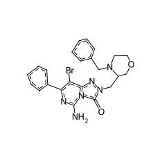 Nc1nc(-c2ccccc2)c(Br)c2nn(CC3COCCN3Cc3ccccc3)c(=O)n12